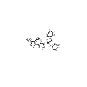 CC1=CCC(c2cccc([CH2][Zr]([CH2]c3ccccc3)[CH2]c3ccccc3)c2)=C1C